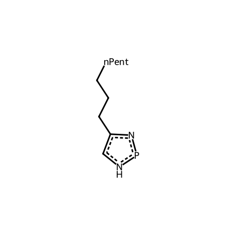 CCCCCCCCc1c[nH]pn1